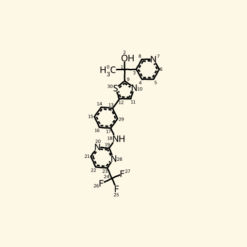 CC(O)(c1cccnc1)c1ncc(-c2cccc(Nc3nccc(C(F)(F)F)n3)c2)s1